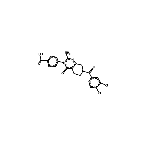 Nc1nc2c(c(=O)n1-c1ccc(C(=O)O)cc1)CCN(C(=O)c1ccc(Cl)c(Cl)c1)C2